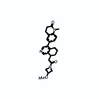 COC1CN(C(=O)CC2CCCc3c(-c4ccc5c(c4)CCC(=O)N5C)cncc32)C1